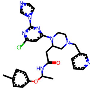 Cc1ccc(OC(C)NC(=O)CC2CN(Cc3cccnc3)CCN2c2cc(Cl)nc(-n3ccnc3)n2)cc1